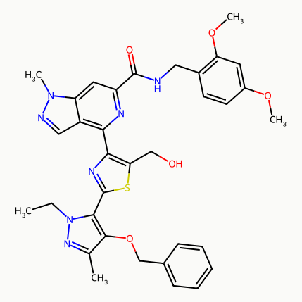 CCn1nc(C)c(OCc2ccccc2)c1-c1nc(-c2nc(C(=O)NCc3ccc(OC)cc3OC)cc3c2cnn3C)c(CO)s1